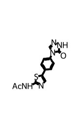 CC(=O)Nc1ncc(-c2ccc(-n3cn[nH]c3=O)cc2)s1